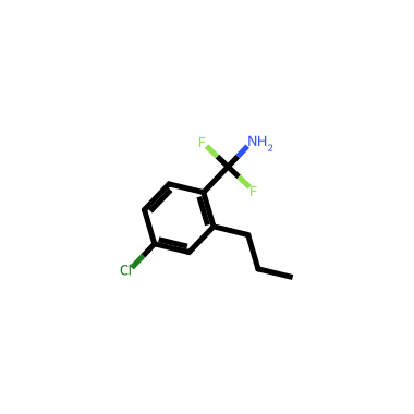 CCCc1cc(Cl)ccc1C(N)(F)F